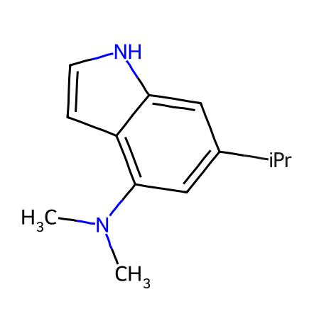 CC(C)c1cc(N(C)C)c2cc[nH]c2c1